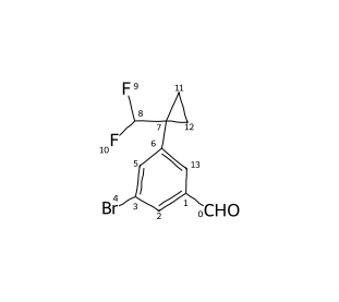 O=Cc1cc(Br)cc(C2(C(F)F)CC2)c1